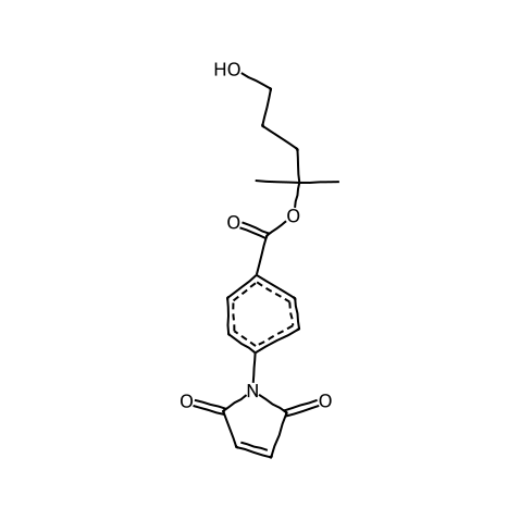 CC(C)(CCCO)OC(=O)c1ccc(N2C(=O)C=CC2=O)cc1